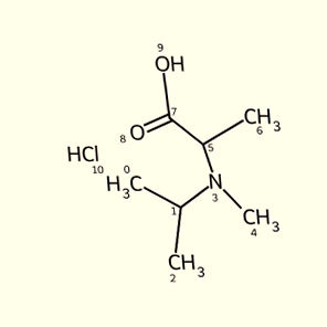 CC(C)N(C)C(C)C(=O)O.Cl